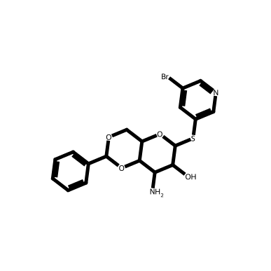 NC1C(O)C(Sc2cncc(Br)c2)OC2COC(c3ccccc3)OC21